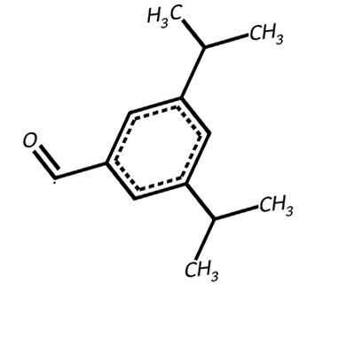 CC(C)c1cc([C]=O)cc(C(C)C)c1